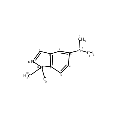 CN(C)c1ccc2c(c1)C=N[N+]2(C)[O-]